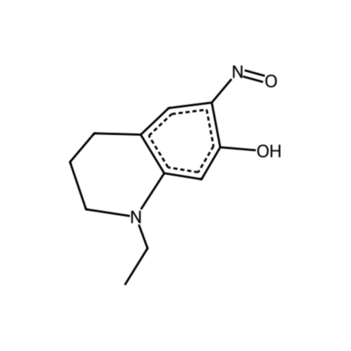 CCN1CCCc2cc(N=O)c(O)cc21